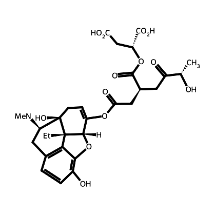 CC[C@]12c3c4ccc(O)c3O[C@H]1C(OC(=O)C[C@H](CC(=O)[C@H](C)O)C(=O)O[C@H](CC(=O)O)C(=O)O)=CC[C@@]2(O)[C@H](NC)C4